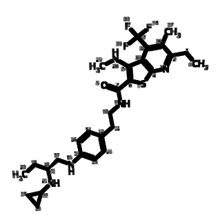 CCc1nc2sc(C(=O)NCCc3ccc(NC[C@H](CC)NC4CC4)cc3)c(NC)c2c(C(F)(F)F)c1C